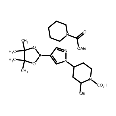 CC(C)(C)C1CC(n2cc(B3OC(C)(C)C(C)(C)O3)cn2)CCN1C(=O)O.COC(=O)N1CCCCC1